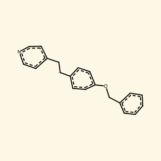 [CH](Cc1ccncc1)c1ccc(OCc2ccccc2)cc1